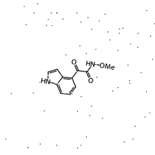 CONC(=O)C(=O)c1cccc2[nH]ccc12